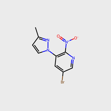 Cc1ccn(-c2cc(Br)cnc2[N+](=O)[O-])n1